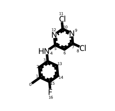 Cc1cc(Nc2cc(Cl)nc(Cl)n2)ccc1F